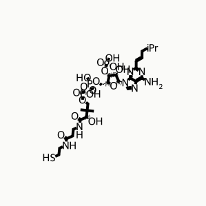 CC(C)CC=Cc1nc(N)c2ncn([C@@H]3O[C@H](COP(=O)(O)OP(=O)(O)OCC(C)(C)[C@@H](O)C(=O)NCCC(=O)NCCS)[C@@H](OP(=O)(O)O)[C@H]3O)c2n1